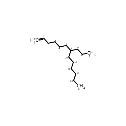 C=CCCCCC(CCC)CCCCCC